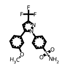 COc1cccc(-c2cc(C(F)(F)F)nn2-c2ccc(S(N)(=O)=O)cc2)c1